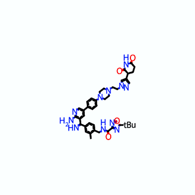 Cc1cc(C(=N)c2cc(-c3ccc(N4CCN(CCn5cc(C6CCC(=O)NC6=O)cn5)CC4)cc3)cnc2N)ccc1CNC(=O)c1noc(C(C)(C)C)n1